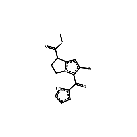 COC(=O)C1CCn2c1cc(Br)c2C(=O)c1ccc[nH]1